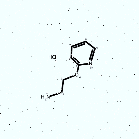 Cl.NCCOc1ccccn1